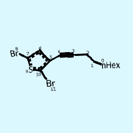 CCCCCCCCC#Cc1cc(Br)sc1Br